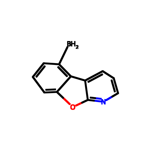 Bc1cccc2oc3ncccc3c12